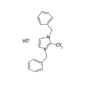 Cc1n(Cc2ccccc2)cc[n+]1Cc1ccccc1.[OH-]